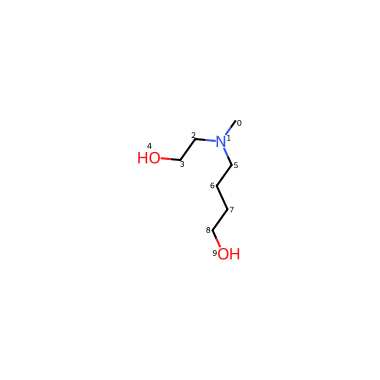 CN(CCO)CCCCO